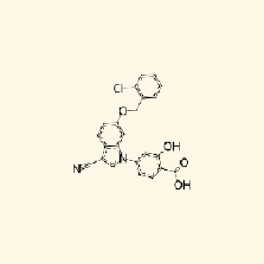 N#Cc1cn(-c2ccc(C(=O)O)c(O)c2)c2cc(OCc3ccccc3Cl)ccc12